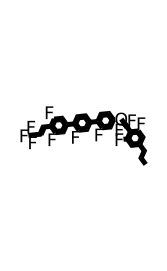 CCCc1cc(F)c(C(F)(F)Oc2ccc(-c3ccc(-c4cc(F)c(/C=C/C(F)(F)F)c(F)c4)c(F)c3)c(F)c2)c(F)c1